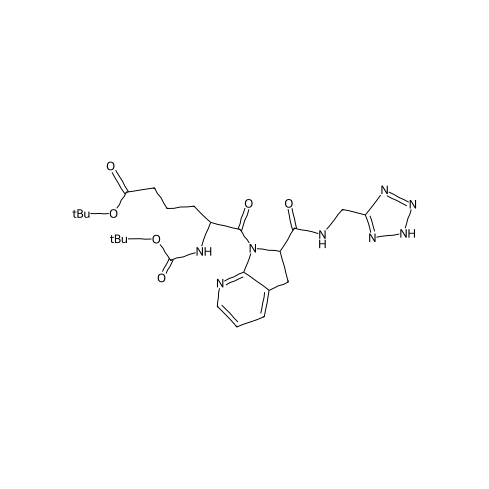 CC(C)(C)OC(=O)CCCC(NC(=O)OC(C)(C)C)C(=O)N1c2ncccc2CC1C(=O)NCc1nn[nH]n1